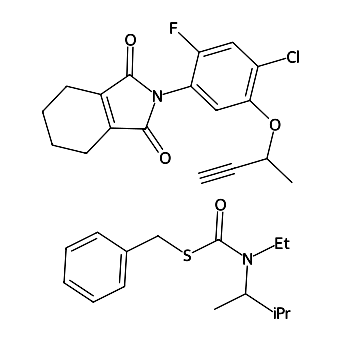 C#CC(C)Oc1cc(N2C(=O)C3=C(CCCC3)C2=O)c(F)cc1Cl.CCN(C(=O)SCc1ccccc1)C(C)C(C)C